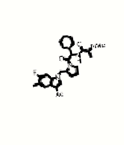 CNC(C)C(=O)NC(C(=O)N1CCCC1Cn1cc(C(C)=O)c2cc(C)c(F)cc21)C1CCCCC1